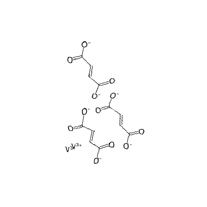 O=C([O-])/C=C/C(=O)[O-].O=C([O-])/C=C/C(=O)[O-].O=C([O-])/C=C/C(=O)[O-].[V+3].[V+3]